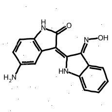 Nc1ccc2c(c1)C(=C1Nc3ccccc3C1=NO)C(=O)N2